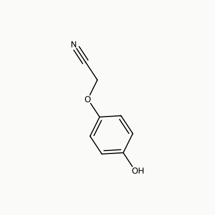 N#CCOc1ccc(O)cc1